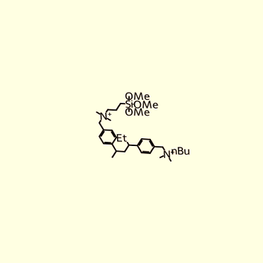 CCCC[N+](C)(C)Cc1ccc(C(CC)CC(C)c2ccc(C[N+](C)(C)CCC[Si](OC)(OC)OC)cc2)cc1